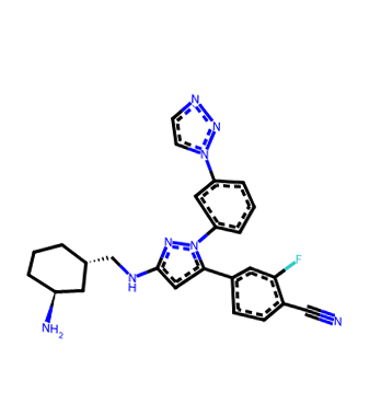 N#Cc1ccc(-c2cc(NC[C@H]3CCC[C@H](N)C3)nn2-c2cccc(-n3ccnn3)c2)cc1F